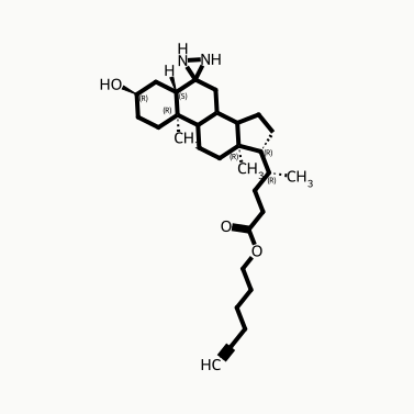 C#CCCCCOC(=O)CC[C@@H](C)[C@H]1CCC2C3CC4(NN4)[C@H]4C[C@H](O)CC[C@]4(C)C3CC[C@@]21C